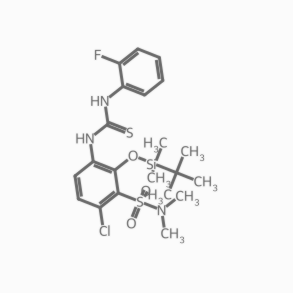 CN(C)S(=O)(=O)c1c(Cl)ccc(NC(=S)Nc2ccccc2F)c1O[Si](C)(C)C(C)(C)C